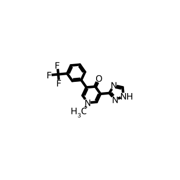 Cn1cc(-c2cccc(C(F)(F)F)c2)c(=O)c(-c2nc[nH]n2)c1